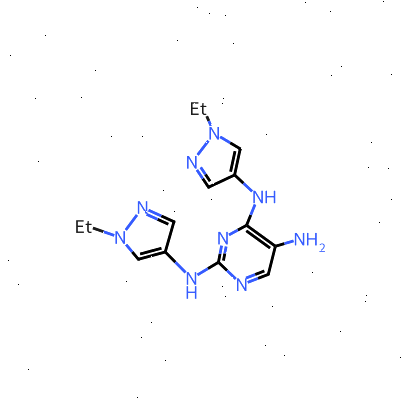 CCn1cc(Nc2ncc(N)c(Nc3cnn(CC)c3)n2)cn1